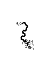 CC/C=C\C/C=C\C/C=C\C/C=C\C/C=C\C/C=C\CCC(=O)NC(C(=O)OC)C(C)(C)S